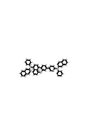 c1ccc(N(c2ccc3ccccc3c2)c2ccc(-c3ccc4c(c3)Oc3cccc5c(N(c6ccccc6)c6ccc7ccccc7c6)ccc-4c35)cn2)cc1